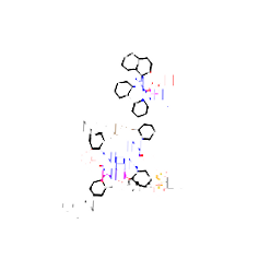 CCS(=O)(=O)c1ccc(O)c(NC(=O)Nc2ccccc2Br)c1.COc1cc([N+](=O)[O-])ccc1NC(=O)Nc1ccc([N+](=O)[O-])cc1O.NC(=O)N(c1ccccc1-c1ccccc1)c1c(O)ccc2ccccc12